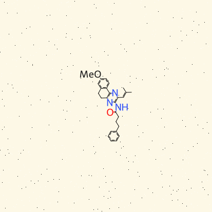 COc1ccc2c(c1)CCc1nc(NC(=O)CCCc3ccccc3)c(C=C(C)C)nc1-2